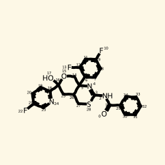 O=C(NC1=NC2(c3ccc(F)cc3F)COC(O)(c3ccc(F)cn3)CC2CS1)c1ccccc1